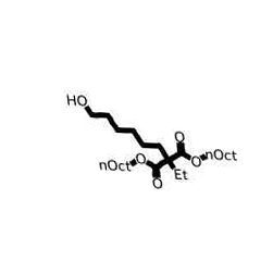 CCCCCCCCOC(=O)C(CC)(CCCCCCO)C(=O)OCCCCCCCC